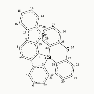 c1ccc([Si]2(c3cccc4c3sc3ccccc34)c3ccccc3Sc3ccccc32)cc1